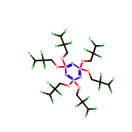 FC(F)C(F)(F)COP1(OCC(F)(F)C(F)F)=NP(OCC(F)(F)C(F)F)(OCC(F)(F)C(F)F)=NP(OCC(F)(F)C(F)F)(OCC(F)(F)C(F)F)=N1